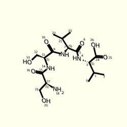 CC(C)[C@H](NC(=O)[C@@H](NC(=O)[C@H](CO)NC(=O)[C@@H](N)CO)C(C)C)C(=O)O